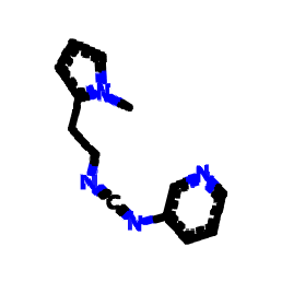 Cn1cccc1CCN=C=Nc1cccnc1